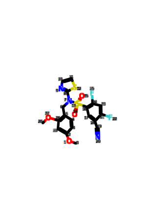 COc1ccc(CN(c2nccs2)S(=O)(=O)c2cc(C#N)c(F)cc2F)c(OC)c1